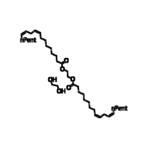 CCCCC/C=C\C/C=C\CCCCCCCC(=O)OCCOC(=O)CCCCCCC/C=C\C/C=C\CCCCC.OCCO